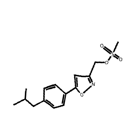 CC(C)Cc1ccc(-c2cc(COS(C)(=O)=O)no2)cc1